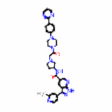 Cc1cc(-c2n[nH]c3ncc(C(=O)NC4CCN(CC(=O)N5CCN(c6ccc(-c7ncccn7)cc6)CC5)C4)cc23)ccn1